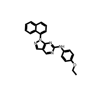 CCOc1ccc(Nc2ncc3cnn(-c4cccc5ccccc45)c3n2)cc1